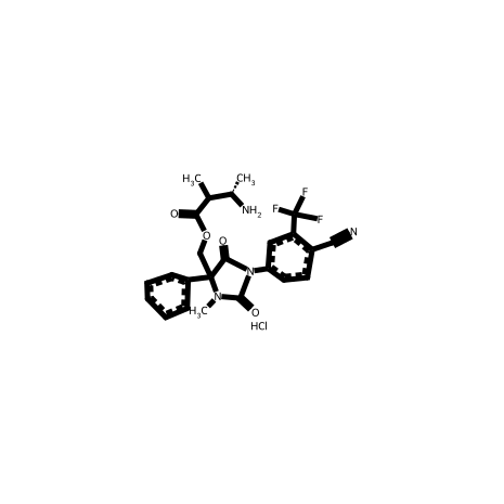 CC(C(=O)OCC1(c2ccccc2)C(=O)N(c2ccc(C#N)c(C(F)(F)F)c2)C(=O)N1C)[C@H](C)N.Cl